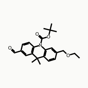 CCOCc1ccc2c(c1)N(C(=O)OC(C)(C)C)c1ccc(C=O)cc1C2(C)C